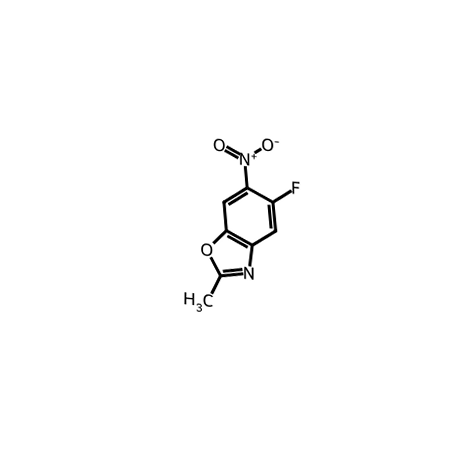 Cc1nc2cc(F)c([N+](=O)[O-])cc2o1